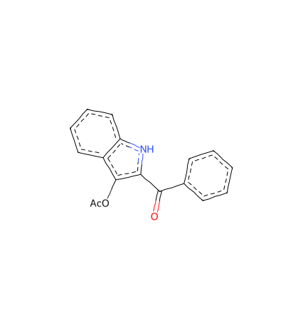 CC(=O)Oc1c(C(=O)c2ccccc2)[nH]c2ccccc12